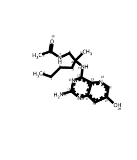 CCCCC(C)(CNC(C)=O)Nc1nc(N)nc2cc(O)cnc12